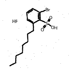 CCCCCCCCc1cccc(Br)c1S(=O)(=O)O.F